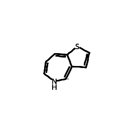 [C]1=c2ccsc2=CC=CN1